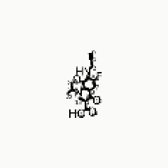 C#CCNc1c(F)cc2c(=O)c(C(=O)O)cn3c2c1OCC3C